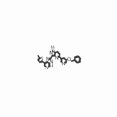 Cc1ccc(-c2cncc3[nH]c(-c4n[nH]c5ccc(-c6cncc(OCc7ccccc7)c6)nc45)nc23)s1